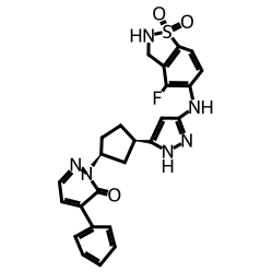 O=c1c(-c2ccccc2)ccnn1[C@H]1CC[C@@H](c2cc(Nc3ccc4c(c3F)CNS4(=O)=O)n[nH]2)C1